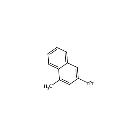 [CH2]c1cc(CCC)cc2ccccc12